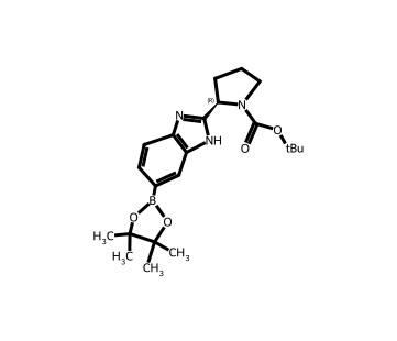 CC(C)(C)OC(=O)N1CCC[C@@H]1c1nc2ccc(B3OC(C)(C)C(C)(C)O3)cc2[nH]1